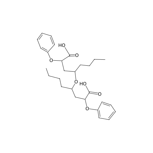 CCCCC(CC(Oc1ccccc1)C(=O)O)OC(CCCC)CC(Oc1ccccc1)C(=O)O